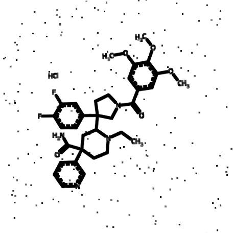 CCN1CCC(C(N)=O)(c2cccnc2)CC1C1(c2ccc(F)c(F)c2)CCN(C(=O)c2cc(OC)c(OC)c(OC)c2)C1.Cl